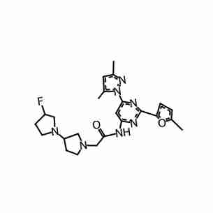 Cc1cc(C)n(-c2cc(NC(=O)CN3CCC(N4CCC(F)C4)C3)nc(-c3ccc(C)o3)n2)n1